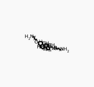 C[C@]12CC[C@H](OCCCN)C[C@H]1CC[C@@H]1[C@@H]2CC[C@]2(C)[C@@H](/C=N/OCCCN)CC[C@]12O